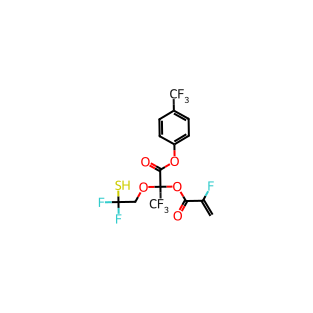 C=C(F)C(=O)OC(OCC(F)(F)S)(C(=O)Oc1ccc(C(F)(F)F)cc1)C(F)(F)F